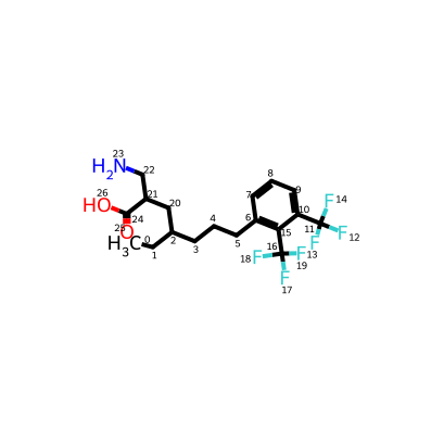 CCC(CCCc1cccc(C(F)(F)F)c1C(F)(F)F)CC(CN)C(=O)O